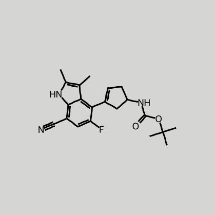 Cc1[nH]c2c(C#N)cc(F)c(C3=CCC(NC(=O)OC(C)(C)C)C3)c2c1C